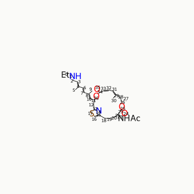 CCNC/C=C(C)/C=C/C(C)=C/[C@@H]1Cc2nc(cs2)CCC[C@H](NC(C)=O)C(=O)O[C@@H](C)C/C(C)=C/C=C\C(=O)O1